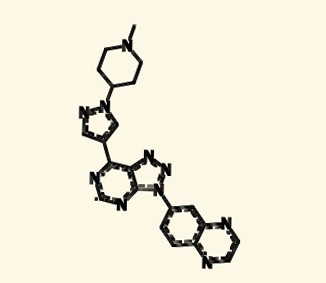 CN1CCC(n2cc(-c3n[c]nc4c3nnn4-c3ccc4nccnc4c3)cn2)CC1